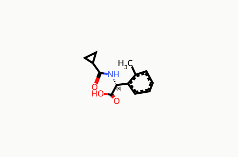 Cc1ccccc1[C@@H](NC(=O)C1CC1)C(=O)O